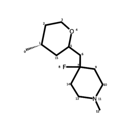 C[C@@H]1CCOC(CC2(F)CCN(C)CC2)C1